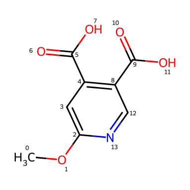 COc1cc(C(=O)O)c(C(=O)O)cn1